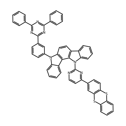 c1ccc(-c2nc(-c3ccccc3)nc(-c3cccc(-n4c5ccccc5c5c4ccc4c6ccccc6n(-c6nccc(-c7ccc8c(c7)Sc7ccccc7S8)n6)c45)c3)n2)cc1